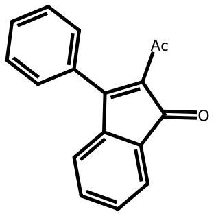 CC(=O)C1=C(c2ccccc2)c2ccccc2C1=O